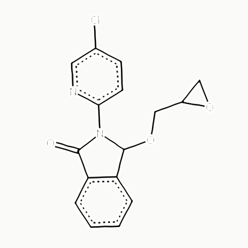 O=C1c2ccccc2C(OCC2CO2)N1c1ccc(Cl)cn1